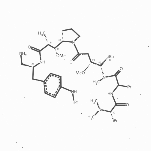 CC[C@H](C)[C@@H]([C@@H](CC(=O)N1CCC[C@H]1[C@H](OC)[C@@H](C)C(=O)N[C@H](CN)Cc1ccc(NC(C)C)cc1)OC)N(C)C(=O)C(NC(=O)[C@H](C(C)C)N(C)C)C(C)C